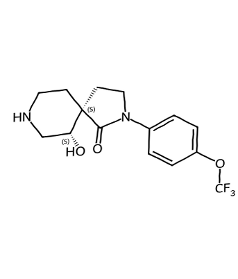 O=C1N(c2ccc(OC(F)(F)F)cc2)CC[C@]12CCNC[C@H]2O